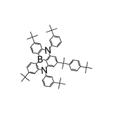 CC(C)(C)c1ccc(C(C)(C)c2cc3c4c(c2)N(c2cccc(C(C)(C)C)c2)c2cc(C(C)(C)C)ccc2B4c2ccc(C(C)(C)C)cc2N3c2cccc(C(C)(C)C)c2)cc1